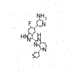 Nc1cncc(-c2cc3c(-c4nc5c(-c6ccsc6)nccc5[nH]4)n[nH]c3cc2F)c1